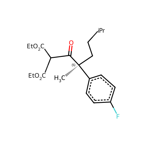 CCOC(=O)C(C(=O)OCC)C(=O)[C@@](C)(CCC(C)C)c1ccc(F)cc1